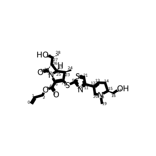 C=CCOC(=O)C1=C(Sc2nc(C3=CC[C@@H](CO)N(C)C3)cs2)[C@H](C)[C@@H]2[C@@H]([C@@H](C)O)C(=O)N12